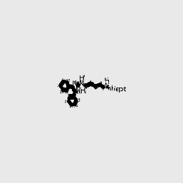 CCCCCCCNCCCCCNc1nc(-c2ccccc2)c(-c2ccccc2)[nH]1